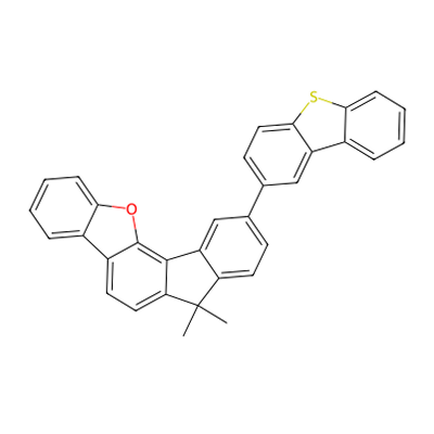 CC1(C)c2ccc(-c3ccc4sc5ccccc5c4c3)cc2-c2c1ccc1c2oc2ccccc21